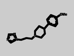 COc1ccc(C2CCN(CCCn3cncn3)CC2)cc1